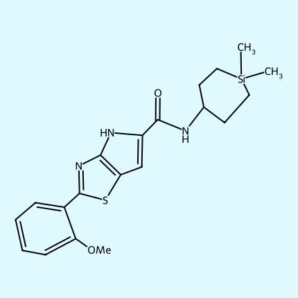 COc1ccccc1-c1nc2[nH]c(C(=O)NC3CC[Si](C)(C)CC3)cc2s1